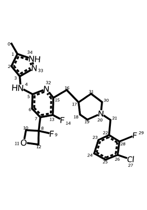 Cc1cc(Nc2cc(C3(F)COC3)c(F)c(CC3CCN(Cc4cccc(Cl)c4F)CC3)n2)n[nH]1